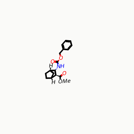 COC(=O)[C@H]1[C@@H]2CC[C@@H](C2)[C@@H]1NC(=O)OCc1ccccc1